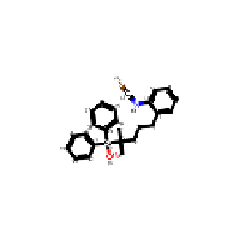 CC(C)(CCCc1ccccc1N=C=S)[Si](O)(c1ccccc1)c1ccccc1